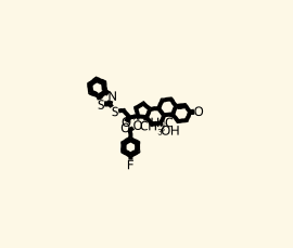 CC12CCC(=O)C=C1CCC1C2[C@@H](O)CC2(C)C1CC[C@]2(OC(=O)c1ccc(F)cc1)C(=O)CSc1nc2ccccc2s1